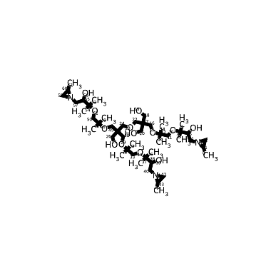 CC1CN1CC(O)C(C)(C)OCC(C)(C)OCC(CO)(CO)COCC(CO)(COC(C)(C)COC(C)(C)C(O)CN1CC1C)COC(C)(C)COC(C)(C)C(O)CN1CC1C